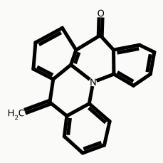 C=c1c2ccccc2n2c3ccccc3c(=O)c3cccc1c32